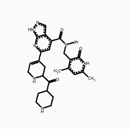 Cc1cc(C)c(CN(C(=O)c2cc(C3=CCNC(C(=O)C4CCNCC4)C3)nc3[nH]ncc23)C(C)C)c(=O)[nH]1